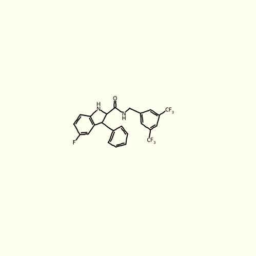 O=C(NCc1cc(C(F)(F)F)cc(C(F)(F)F)c1)C1Nc2ccc(F)cc2C1c1ccccc1